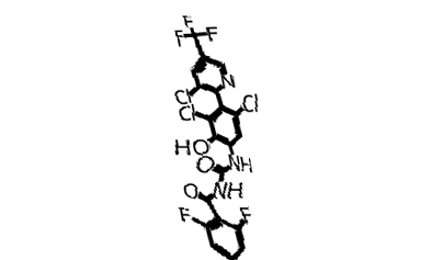 O=C(NC(=O)c1c(F)cccc1F)Nc1cc(Cl)c(-c2ncc(C(F)(F)F)cc2Cl)c(Cl)c1O